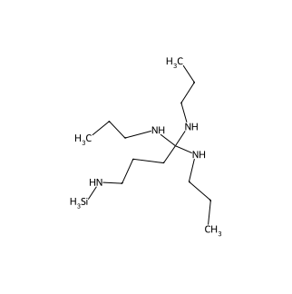 CCCNC(CCCN[SiH3])(NCCC)NCCC